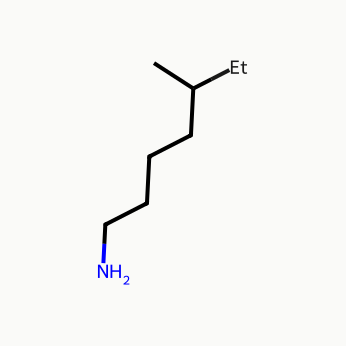 CCC(C)CCCCN